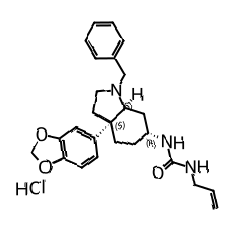 C=CCNC(=O)N[C@@H]1CC[C@@]2(c3ccc4c(c3)OCO4)CCN(Cc3ccccc3)[C@H]2C1.Cl